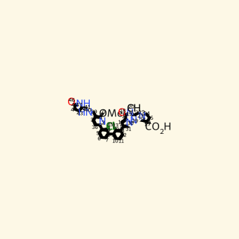 COc1nc(-c2cccc(-c3cccc(-c4cc5c(=O)n(C)c(CN6CC[C@H](C(=O)O)C6)nn5c4)c3Cl)c2Cl)ccc1CNC[C@H]1CCC(=O)N1